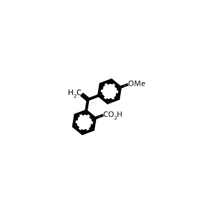 C=C(c1ccc(OC)cc1)c1ccccc1C(=O)O